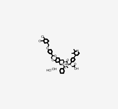 CC[C@@H](c1ccccc1)N1Cc2cc3c(cc2C[C@H]1C(=O)N[C@@H](CC(=O)O)c1ccc(-c2ccnc(C)c2C)cc1)OC(c1ccc(OCc2ccc(Cl)c(Cl)c2)cc1)CO3.Cl.Cl